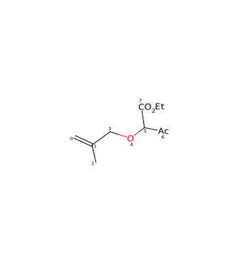 C=C(C)COC(C(C)=O)C(=O)OCC